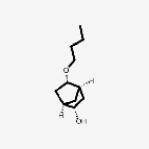 CCCCO[C@H]1C[C@H]2C[C@@H]1C[C@@H]2O